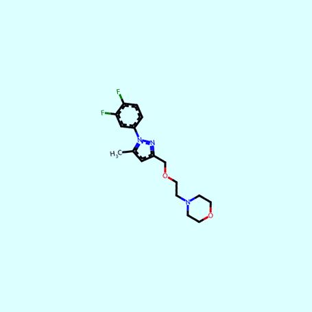 Cc1cc(COCCN2CCOCC2)nn1-c1ccc(F)c(F)c1